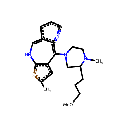 COCCCC1CN(C2=c3ncccc3=CNc3sc(C)cc32)CCN1C